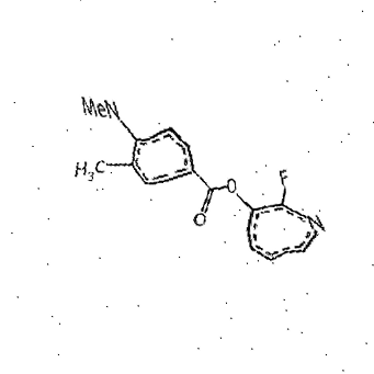 CNc1ccc(C(=O)Oc2cccnc2F)cc1C